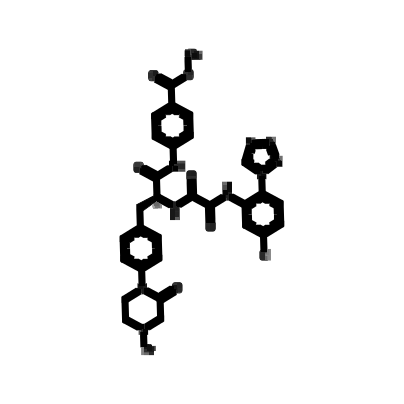 CC(C)N1CCN(c2ccc(C[C@H](NC(=O)C(=O)Nc3cc(Cl)ccc3-n3cnnn3)C(=O)Nc3ccc(C(=O)OC(C)(C)C)cc3)cc2)C(=O)C1